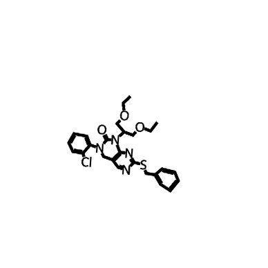 CCOCC(COCC)N1C(=O)N(c2ccccc2Cl)Cc2cnc(SCc3ccccc3)nc21